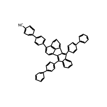 N#Cc1ccc(-c2ccc(-c3ccc4c5c(cccc35)-c3c-4c(-c4ccc(-c5ccccc5)cc4)c4ccccc4c3-c3ccc(-c4ccccc4)cc3)cc2)cc1